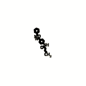 CCCCC(=O)Nc1ccc(-c2nnc(-c3ccccc3)o2)cc1